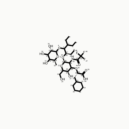 CCC(CC)C(OC1O[C@@H](C)C(O)C(O)[C@@H]1O)[C@@H](CC)O[C@@H]1OC(CO)[C@H](O)C(O[C@@H](CC2CCCCC2)C(=O)O)C1NC(=O)C(F)(F)F